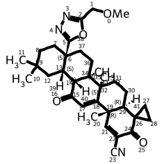 COCc1nnc([C@]23CCC(C)(C)C[C@H]2[C@H]2C(=O)C=C4[C@@]5(C)C=C(C#N)C(=O)C6(CC6)[C@@H]5CC[C@@]4(C)[C@]2(C)CC3)o1